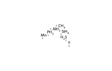 C.P.S.[AlH3].[Mn].[SiH4].[Y]